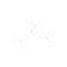 c1ccc(-n2c3ccccc3c3cc(-c4nc(-c5ccc6c(c5)c5ccccc5n6-c5ccccc5)c5c6ccccc6n(-c6ccccc6)c5n4)ccc32)cc1